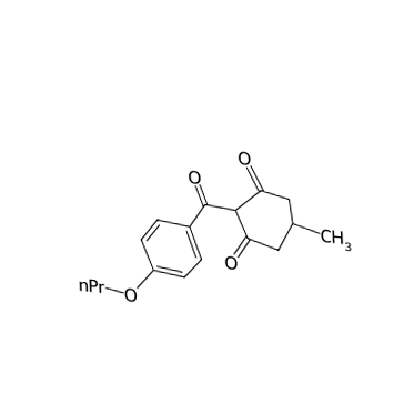 CCCOc1ccc(C(=O)C2C(=O)CC(C)CC2=O)cc1